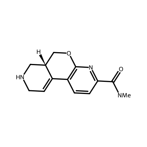 CNC(=O)c1ccc2c(n1)OC[C@H]1CNCC=C21